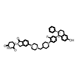 O=C1CC[C@H](N2Cc3cc(N4CCN(CC5CCN(c6ccc([C@@H]7c8ccc(O)cc8CC[C@@H]7c7ccccc7)cc6F)CC5)CC4)ccc3C2=O)C(=O)N1